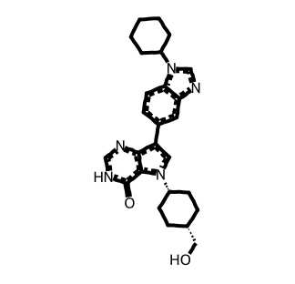 O=c1[nH]cnc2c(-c3ccc4c(c3)ncn4C3CCCCC3)cn([C@H]3CC[C@@H](CO)CC3)c12